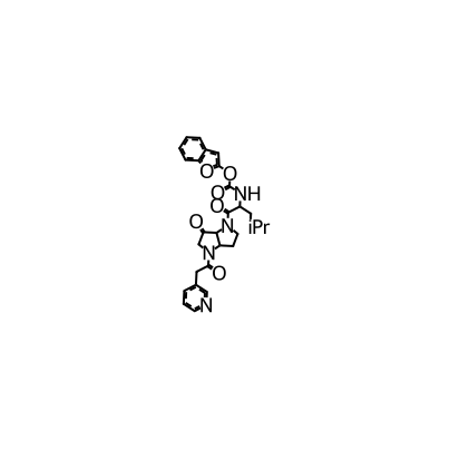 CC(C)CC(NC(=O)Oc1cc2ccccc2o1)C(=O)N1CCC2C1C(=O)CN2C(=O)Cc1cccnc1